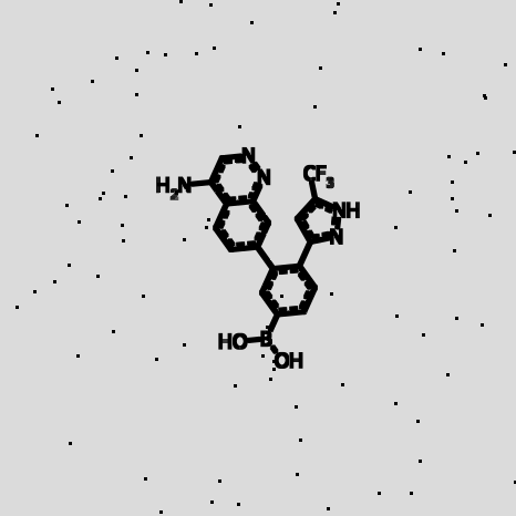 Nc1cnnc2cc(-c3cc(B(O)O)ccc3-c3cc(C(F)(F)F)[nH]n3)ccc12